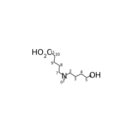 CN(CCCCO)CCCCC(=O)O